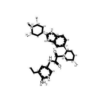 CCc1cc(NC(=O)C(=O)N2C[C@@H](C)CC[C@@H]2c2ccc3sc([C@H]4C[C@@H](C)N(C)[C@@H](C)C4)nc3c2)cnc1N